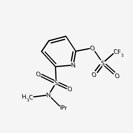 CC(C)N(C)S(=O)(=O)c1cccc(OS(=O)(=O)C(F)(F)F)n1